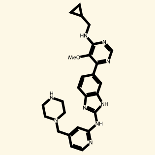 COc1c(NCC2CC2)ncnc1-c1ccc2nc(Nc3cc(CN4CCNCC4)ccn3)[nH]c2c1